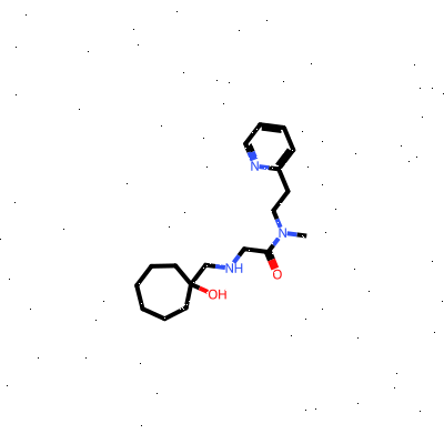 CN(CCc1ccccn1)C(=O)CNCC1(O)CCCCCC1